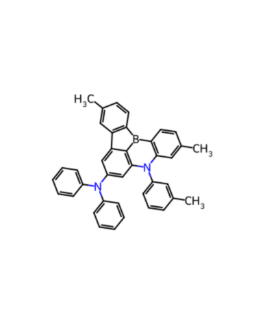 Cc1cccc(N2c3cc(C)ccc3B3c4ccc(C)cc4-c4cc(N(c5ccccc5)c5ccccc5)cc2c43)c1